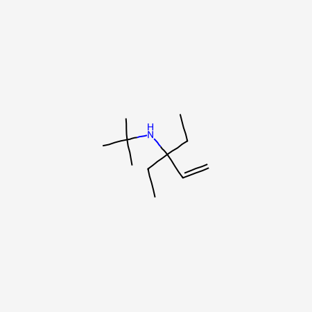 C=CC(CC)(CC)NC(C)(C)C